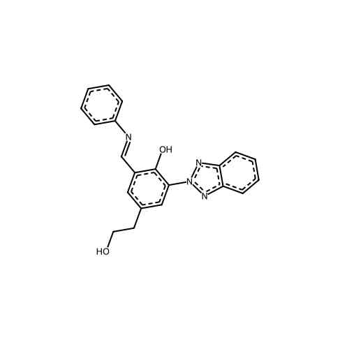 OCCc1cc(C=Nc2ccccc2)c(O)c(-n2nc3ccccc3n2)c1